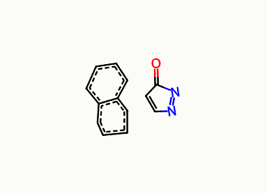 O=C1C=CN=N1.c1ccc2ccccc2c1